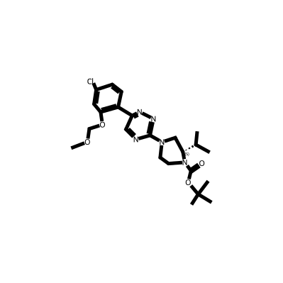 COCOc1cc(Cl)ccc1-c1cnc(N2CCN(C(=O)OC(C)(C)C)[C@@H](C(C)C)C2)nn1